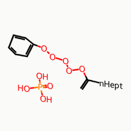 C=C(CCCCCCC)OOOOOc1ccccc1.O=P(O)(O)O